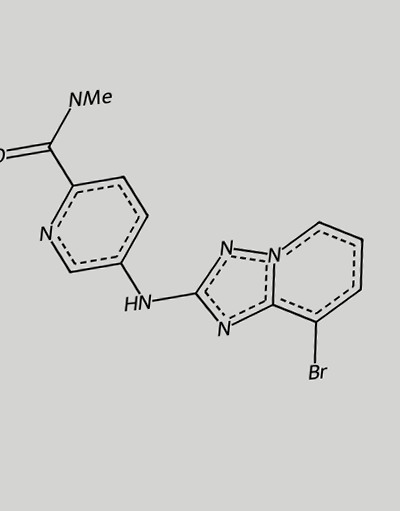 CNC(=O)c1ccc(Nc2nc3c(Br)cccn3n2)cn1